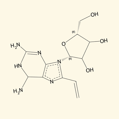 C=Cc1nc2c(n1[C@@H]1O[C@H](CO)C(O)C1O)N=C(N)NC2N